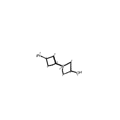 CC(C)C1CC(N2CC(O)C2)C1